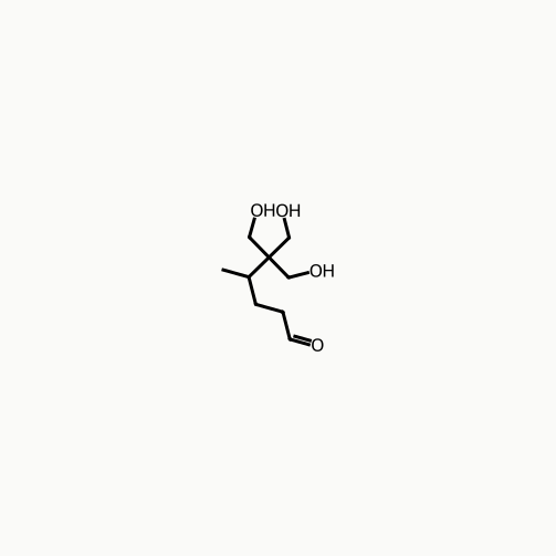 CC(CCC=O)C(CO)(CO)CO